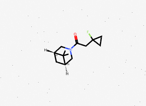 CC1(C)[C@@H]2C[C@@H]1CN(C(=O)CC1(F)CC1)C2